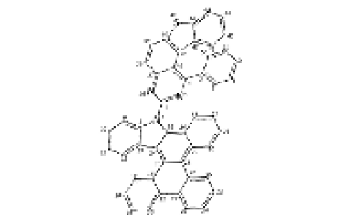 c1ccc(-c2nc(-n3c4ccccc4c4c5c6ccccc6c6ccccc6c5c5ccccc5c43)nc3ccc4sc5ccccc5c4c23)cc1